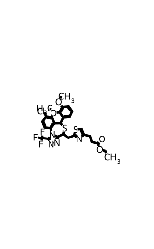 CCOC(=O)CCc1csc(CC2SC(c3cccc(OC)c3OC)c3cc(Cl)ccc3-n3c2nnc3C(F)(F)F)n1